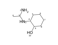 CC(N)NC1CCCCC1O